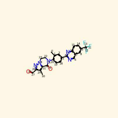 Cc1cc(-c2ncc3cc(C(F)(F)F)ccc3n2)ccc1N1CCn2nc(C=O)c(C)c2C1=O